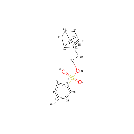 Cc1ccc(S(=O)(=O)OCCC2=CCC3CC2C3(C)C)cc1